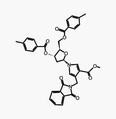 COC(=O)c1cn([C@H]2C[C@H](OC(=O)c3ccc(C)cc3)[C@@H](COC(=O)c3ccc(C)cc3)O2)cc1CN1C(=O)c2ccccc2C1=O